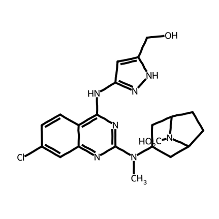 CN(c1nc(Nc2cc(CO)[nH]n2)c2ccc(Cl)cc2n1)C1CC2CCC(C1)N2C(=O)O